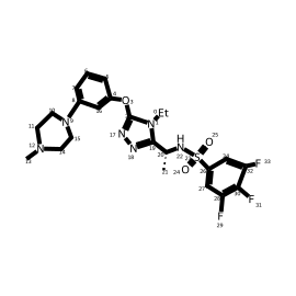 CCn1c(Oc2cccc(N3CCN(C)CC3)c2)nnc1[C@@H](C)NS(=O)(=O)c1cc(F)c(F)c(F)c1